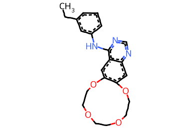 CCc1cccc(Nc2ncnc3cc4c(cc23)OCCOCCOCCO4)c1